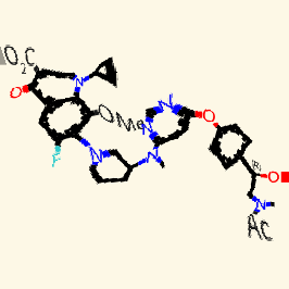 COc1c(N2CCCC(N(C)c3cc(Oc4ccc([C@@H](O)CN(C)C(C)=O)cc4)ncn3)C2)c(F)cc2c(=O)c(C(=O)O)cn(C3CC3)c12